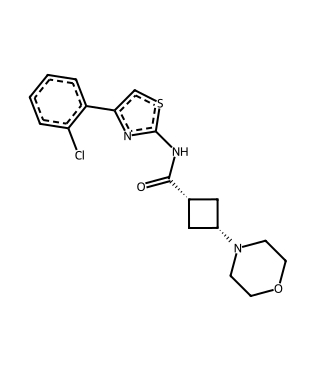 O=C(Nc1nc(-c2ccccc2Cl)cs1)[C@H]1C[C@@H](N2CCOCC2)C1